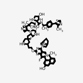 CCc1cccc2cc(O)cc(-c3ncc4c(N5CC6CCC(C5)N6)nc(OCCC5CC(F)(CC6CNCCN6c6cnoc6C(C)(C)CC(=O)[C@@]6(C(=O)N[C@@H](C)c7ccc(-c8scnc8C)cc7)CC(O)CN6)CCN5)nc4c3F)c12